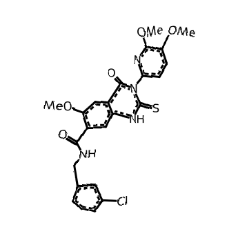 COc1cc2c(=O)n(-c3ccc(OC)c(OC)n3)c(=S)[nH]c2cc1C(=O)NCc1cccc(Cl)c1